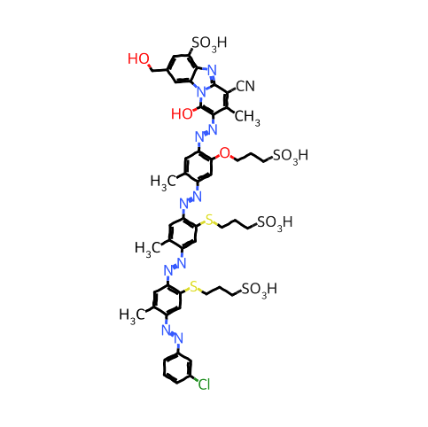 Cc1cc(N=Nc2cc(SCCCS(=O)(=O)O)c(N=Nc3cc(OCCCS(=O)(=O)O)c(N=Nc4c(C)c(C#N)c5nc6c(S(=O)(=O)O)cc(CO)cc6n5c4O)cc3C)cc2C)c(SCCCS(=O)(=O)O)cc1N=Nc1cccc(Cl)c1